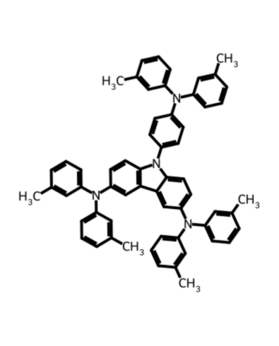 Cc1cccc(N(c2ccc(-n3c4ccc(N(c5cccc(C)c5)c5cccc(C)c5)cc4c4cc(N(c5cccc(C)c5)c5cccc(C)c5)ccc43)cc2)c2cccc(C)c2)c1